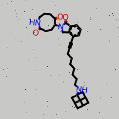 O=C1CCC(N2Cc3c(C#CCCCCCCCNC45CC6CC7CC(C4)C765)cccc3C2=O)C(=O)CCCN1